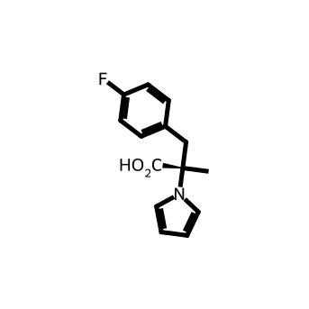 C[C@](Cc1ccc(F)cc1)(C(=O)O)n1cccc1